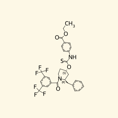 CCOC(=O)c1ccc(NC(=S)O[C@H]2CCN(C(=O)c3cc(C(F)(F)F)cc(C(F)(F)F)c3)[C@H](Cc3ccccc3)C2)cc1